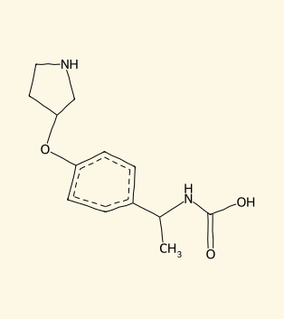 CC(NC(=O)O)c1ccc(OC2CCNC2)cc1